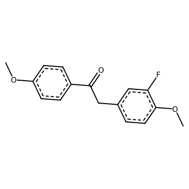 COc1ccc(C(=O)Cc2ccc(OC)c(F)c2)cc1